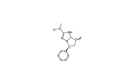 C[S+]([O-])C1=NN2C(N1)[C@@H](F)C[C@H]2c1ccccc1